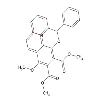 COC(=O)c1c(C(=O)OC)c(OC(c2ccccc2)c2ccccc2)c2ncccc2c1OC